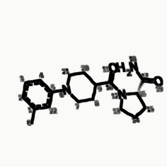 Cc1cccc(N2CCC(C(=O)N3CCC[C@H]3C(N)=O)CC2)c1